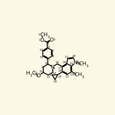 COC(=O)c1ccc(C2CC(OC)CCN2Cc2c(C3CC3)cc(C)c3c2ccn3C)cc1